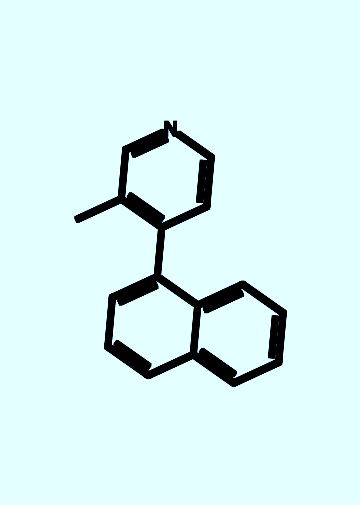 Cc1cnccc1-c1cccc2ccccc12